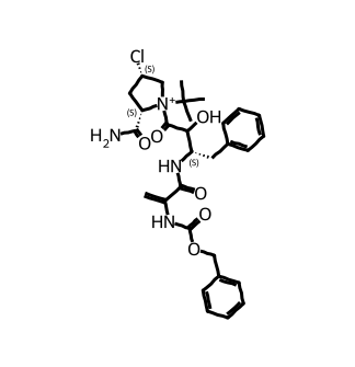 C=C(NC(=O)OCc1ccccc1)C(=O)N[C@@H](Cc1ccccc1)C(O)C(=O)[N+]1(C(C)(C)C)C[C@@H](Cl)C[C@H]1C(N)=O